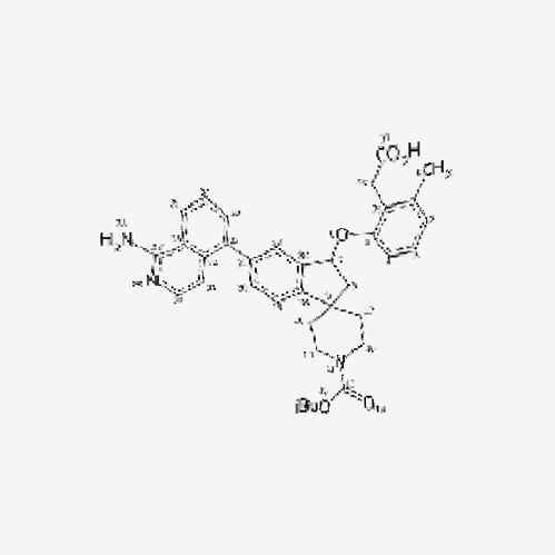 Cc1cccc(OC2CC3(CCN(C(=O)OCC(C)C)CC3)c3ccc(-c4cccc5c(N)nccc45)cc32)c1CC(=O)O